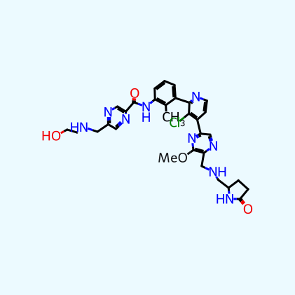 COc1nc(-c2ccnc(-c3cccc(NC(=O)c4cnc(CNCCO)cn4)c3C)c2Cl)cnc1CNCC1CCC(=O)N1